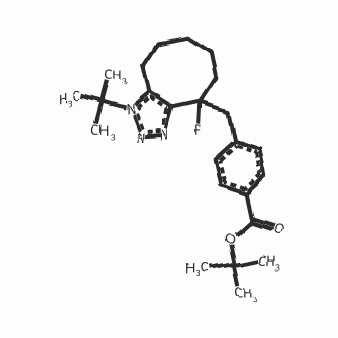 CC(C)(C)OC(=O)c1ccc(CC2(F)CCCCCc3c2nnn3C(C)(C)C)cc1